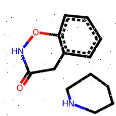 C1CCNCC1.O=C1Cc2ccccc2ON1